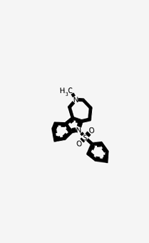 CN1CCCc2c(c3ccccc3n2S(=O)(=O)c2ccccc2)C1